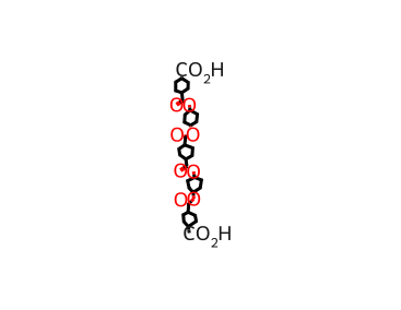 O=C(O)C1CCC(C(=O)OC2CCC(OC(=O)C3CCC(C(=O)OC4CCC(OC(=O)C5CCC(C(=O)O)CC5)CC4)CC3)CC2)CC1